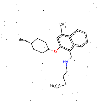 Cc1cc(O[C@H]2CC[C@H](C(C)(C)C)CC2)c(CNCCCC(=O)O)c2ccccc12